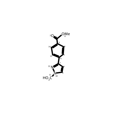 COC(=O)c1ccc(-c2ccn(C(=O)O)n2)cc1